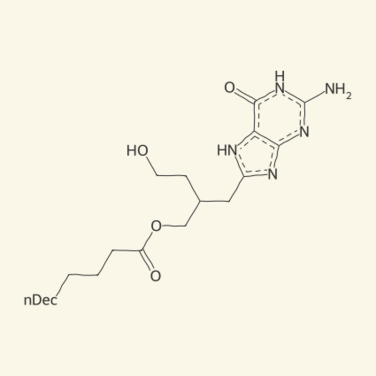 CCCCCCCCCCCCCC(=O)OCC(CCO)Cc1nc2nc(N)[nH]c(=O)c2[nH]1